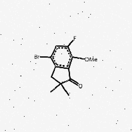 COc1c(F)cc(Br)c2c1C(=O)C(C)(C)C2